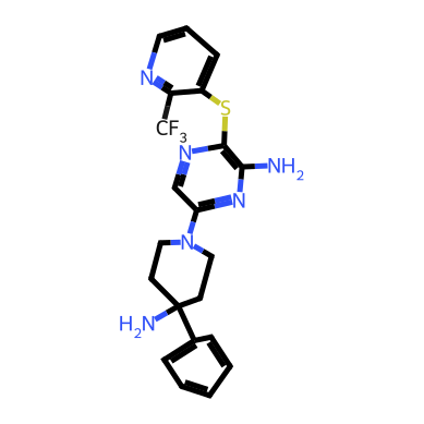 Nc1nc(N2CCC(N)(c3ccccc3)CC2)cnc1Sc1cccnc1C(F)(F)F